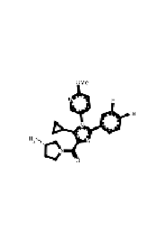 COc1ccc(-n2c(-c3ccc(C#N)c(F)c3)nc(C(=O)N3CC[C@H](N)C3)c2C2CC2)cn1